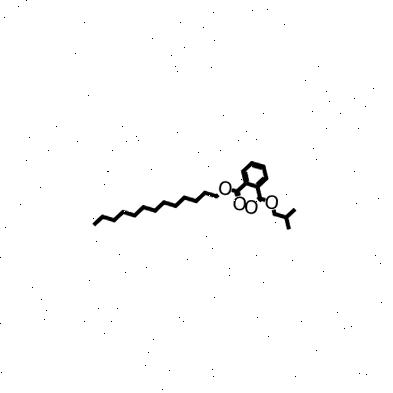 CCCCCCCCCCCCCOC(=O)c1ccccc1C(=O)OCC(C)C